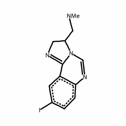 CNCC1CN=C2c3cc(I)ccc3N=CN21